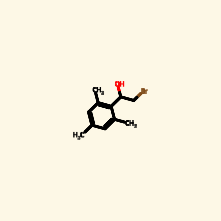 Cc1cc(C)c(C(O)CBr)c(C)c1